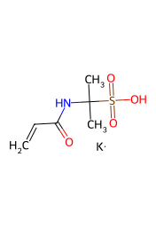 C=CC(=O)NC(C)(C)S(=O)(=O)O.[K]